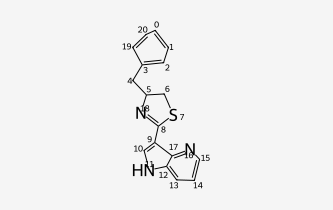 c1ccc(CC2CSC(c3c[nH]c4cccnc34)=N2)cc1